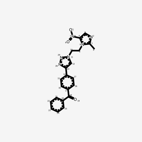 Cc1ncc([N+](=O)[O-])n1CCn1cc(-c2ccc(C(=O)c3ccccc3)cc2)nn1